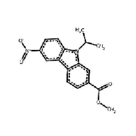 COC(=O)c1ccc2c3cc([N+](=O)[O-])ccc3n(C(C)C)c2c1